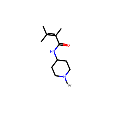 CC(C)=C(C)C(=O)NC1CCN(C(C)C)CC1